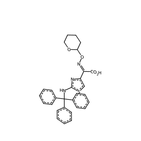 O=C(O)/C(=N\OC1CCCCO1)c1csc(NC(c2ccccc2)(c2ccccc2)c2ccccc2)n1